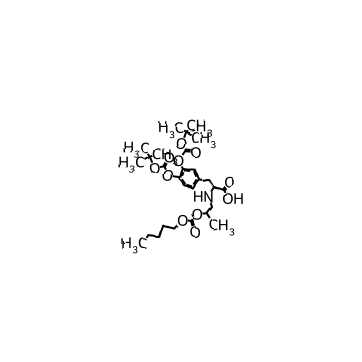 CCCCCOC(=O)OC(C)CN[C@@H](Cc1ccc(OC(=O)OC(C)(C)C)c(OC(=O)OC(C)(C)C)c1)C(=O)O